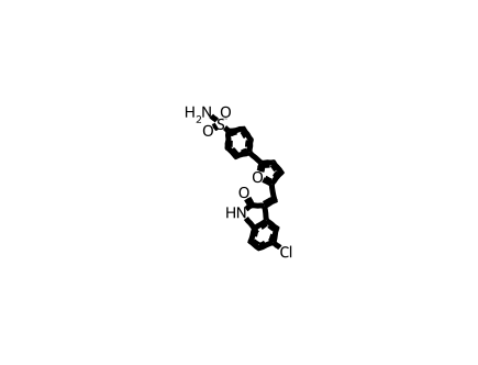 NS(=O)(=O)c1ccc(-c2ccc(C=C3C(=O)Nc4ccc(Cl)cc43)o2)cc1